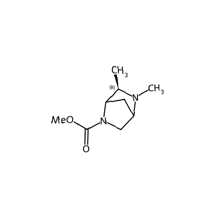 COC(=O)N1CC2CC1[C@@H](C)N2C